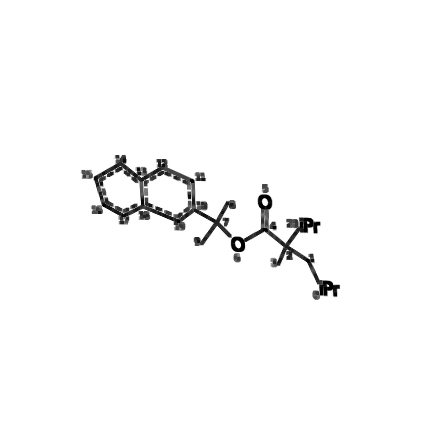 CC(C)CC(C)(C(=O)OC(C)(C)c1ccc2ccccc2c1)C(C)C